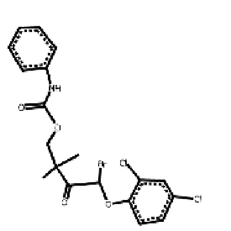 CC(C)(COC(=O)Nc1ccccc1)C(=O)C(Br)Oc1ccc(Cl)cc1Cl